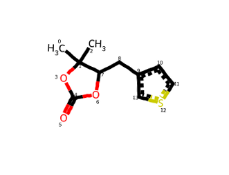 CC1(C)OC(=O)OC1Cc1ccsc1